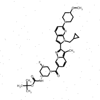 COC1CCN(c2ccc3cc(-c4nn5cc(C(=O)N6C[C@H](F)C[C@@H](NC(=O)OC(C)(C)C)C6)ccc5c4C)n(CC4CC4)c3n2)CC1